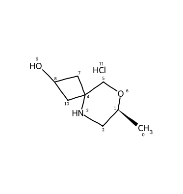 C[C@H]1CNC2(CO1)CC(O)C2.Cl